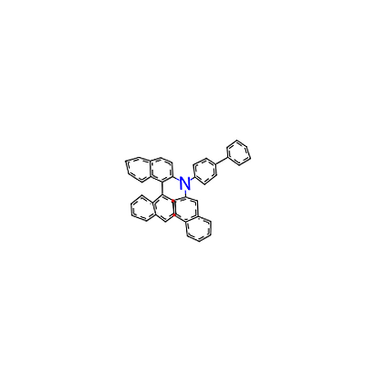 c1ccc(-c2ccc(N(c3ccc4ccccc4c3)c3ccc4ccccc4c3-c3cccc4ccccc34)cc2)cc1